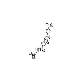 CCN(CC)CCCNC(=O)c1ccc2c(c1)sc1nc(-c3ccc(C(=O)N(C)C)cc3)cn12